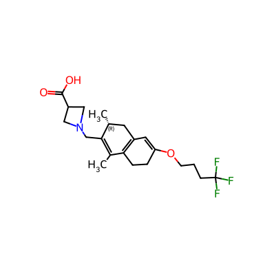 CC1=C(CN2CC(C(=O)O)C2)[C@H](C)CC2=C1CCC(OCCCC(F)(F)F)=C2